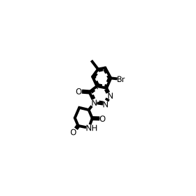 Cc1cc(Br)c2nnn(C3CCC(=O)NC3=O)c(=O)c2c1